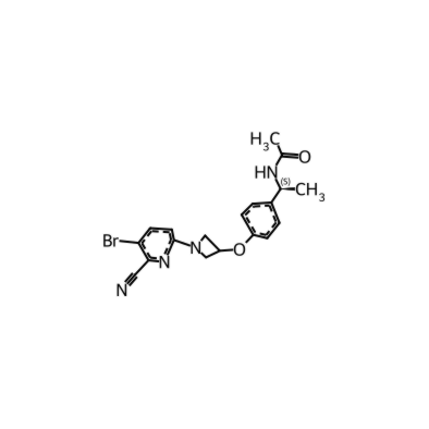 CC(=O)N[C@@H](C)c1ccc(OC2CN(c3ccc(Br)c(C#N)n3)C2)cc1